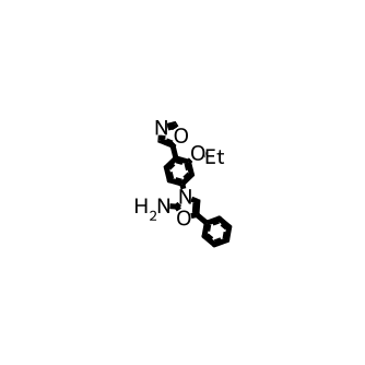 CCOc1cc(N2C=C(c3ccccc3)OC2N)ccc1-c1cnco1